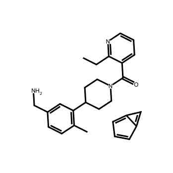 CCc1ncccc1C(=O)N1CCC(c2cc(CN)ccc2C)CC1.c1cc2cc-2c1